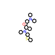 c1ccc(N(c2ccccc2)c2ccc3oc4cc(N(c5ccccc5)c5ccc6c(c5)sc5ccccc56)c5ccccc5c4c3c2)cc1